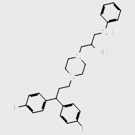 OC(CNc1ccccc1)CN1CCN(CCC(c2ccc(F)cc2)c2ccc(F)cc2)CC1